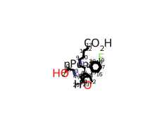 CCCCC[C@@H](O)/C=C/[C@@H]1[C@@H](C/C=C\CCCC(=O)O)[C@@]2(c3ccc(F)cc3)CO[C@@H]1C2